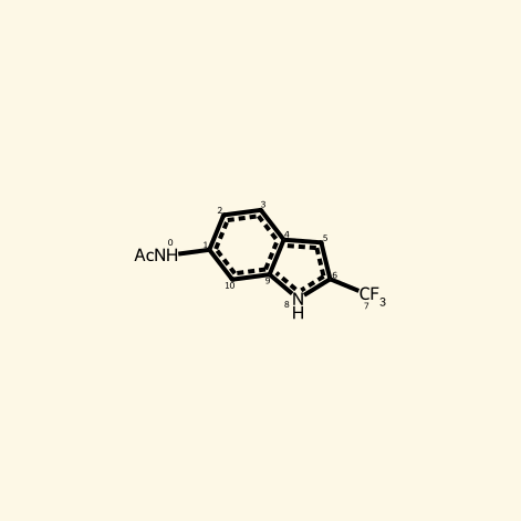 CC(=O)Nc1ccc2cc(C(F)(F)F)[nH]c2c1